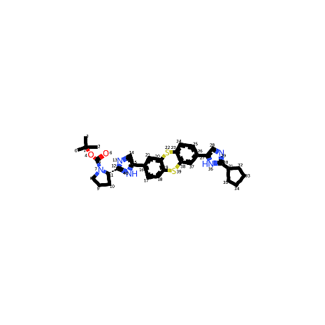 CC(C)(C)OC(=O)N1CCC[C@H]1c1ncc(-c2ccc3c(c2)Sc2ccc(-c4cnc(C5CCCC5)[nH]4)cc2S3)[nH]1